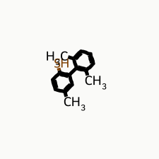 Cc1ccc(S)c(-c2c(C)cccc2C)c1